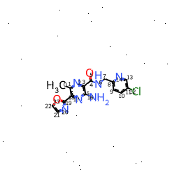 Cc1nc(C(=O)NCc2ccc(Cl)cn2)c(N)nc1-c1ncco1